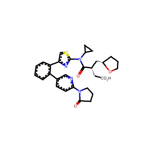 O=C(O)C[C@@H](C[C@@H]1CCCO1)C(=O)N(c1nc(-c2ccccc2-c2ccc(N3CCCC3=O)nc2)cs1)C1CC1